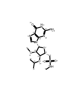 CNS(=O)(=O)C[C@H]1O[C@@H](n2cnc3c(=O)[nH]c(N)nc32)[C@H](OC)[C@@H]1OC(C)C